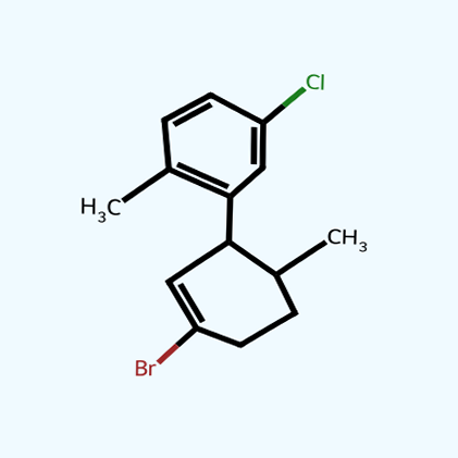 Cc1ccc(Cl)cc1C1C=C(Br)CCC1C